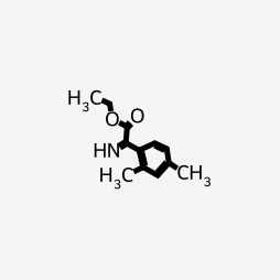 CCOC(=O)C(=N)c1ccc(C)cc1C